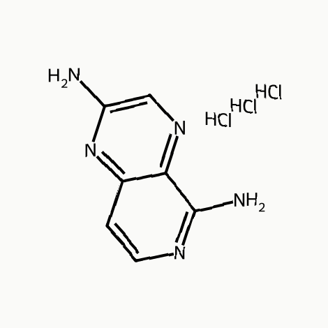 Cl.Cl.Cl.Nc1cnc2c(N)nccc2n1